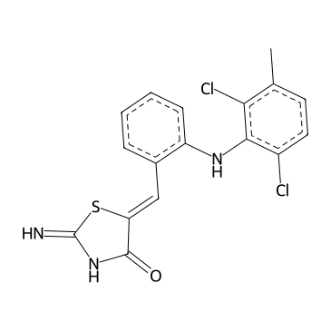 Cc1ccc(Cl)c(Nc2ccccc2/C=C2\SC(=N)NC2=O)c1Cl